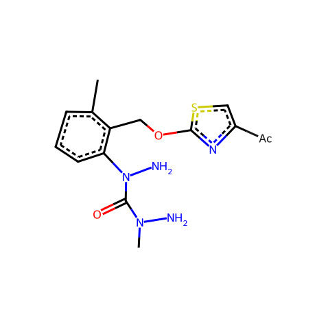 CC(=O)c1csc(OCc2c(C)cccc2N(N)C(=O)N(C)N)n1